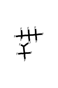 F[C](OC(F)(C(F)(F)F)C(F)(F)F)C(F)(F)F